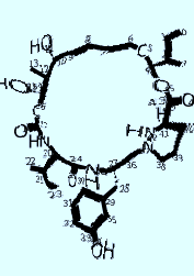 C/C=C(\C)[C@@H]1C/C=C/C=C/[C@@H](O)C(C)[C@@H](O)CC(=O)NC(C(C)C)C(=O)N[C@@H](Cc2cccc(O)c2)CN2CCC[C@H](N2)C(=O)O1